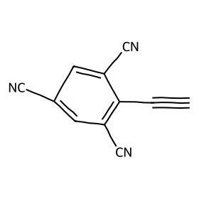 C#Cc1c(C#N)cc(C#N)cc1C#N